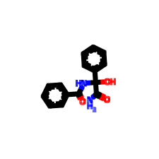 NC(=O)C(O)(NC(=O)c1ccccc1)c1ccccc1